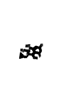 CN[C@@H](CC1CC1)C(O)c1c(F)cc(Cl)cc1F.Cl